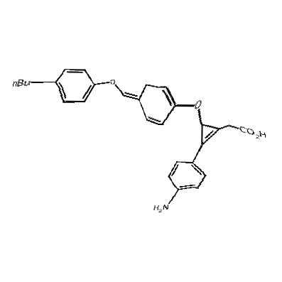 CCCCc1ccc(OC=C2C=CC(OC3C(C(=O)O)=C3c3ccc(N)cc3)=CC2)cc1